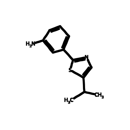 CC(C)c1cnc(-c2cccc(N)c2)s1